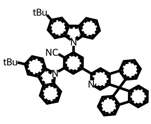 CC(C)(C)c1ccc2c(c1)c1ccccc1n2-c1cc(-c2cc3c(cn2)C2(c4ccccc4-c4ccccc42)c2ccccc2-3)cc(-n2c3ccccc3c3cc(C(C)(C)C)ccc32)c1C#N